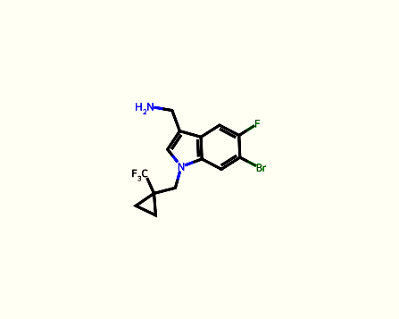 NCc1cn(CC2(C(F)(F)F)CC2)c2cc(Br)c(F)cc12